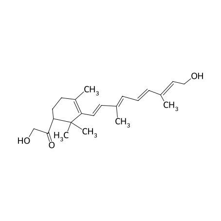 CC1=C(/C=C/C(C)=C/C=C/C(C)=C/CO)C(C)(C)C(C(=O)CO)CC1